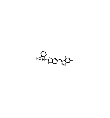 Cc1cc(C)c2c(c1)ncn2Cc1ccc2nc(NC3CCCCC3O)sc2c1